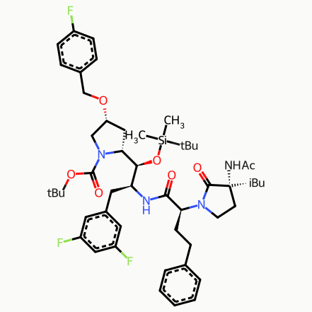 CC[C@@H](C)[C@@]1(NC(C)=O)CCN([C@@H](CCc2ccccc2)C(=O)N[C@@H](Cc2cc(F)cc(F)c2)[C@H](O[Si](C)(C)C(C)(C)C)[C@H]2C[C@@H](OCc3ccc(F)cc3)CN2C(=O)OC(C)(C)C)C1=O